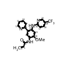 C=CC(=O)Nc1cc(-c2ccccn2)c(Nc2ccc(C(F)(F)F)cn2)cc1OC